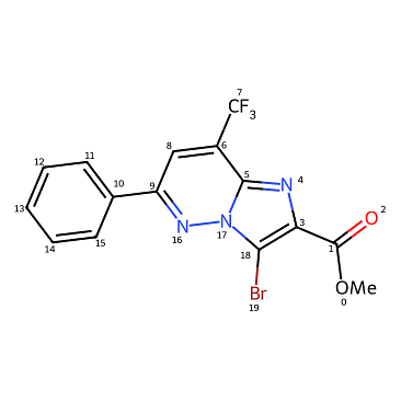 COC(=O)c1nc2c(C(F)(F)F)cc(-c3ccccc3)nn2c1Br